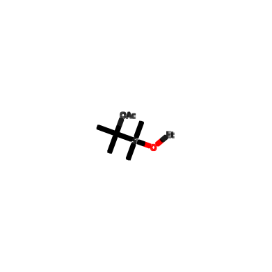 CCO[Si](C)(C)C(C)(C)OC(C)=O